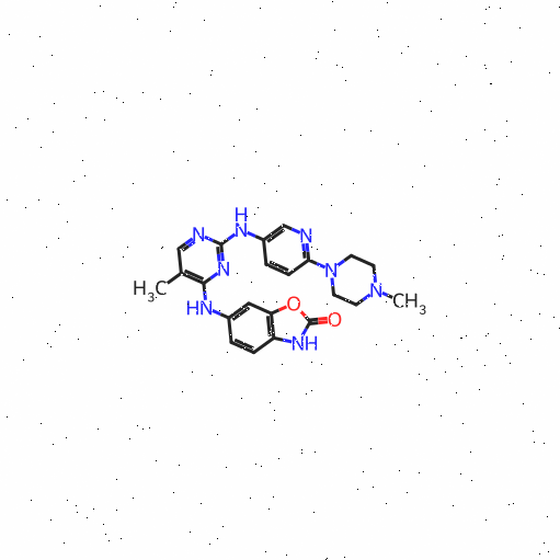 Cc1cnc(Nc2ccc(N3CCN(C)CC3)nc2)nc1Nc1ccc2[nH]c(=O)oc2c1